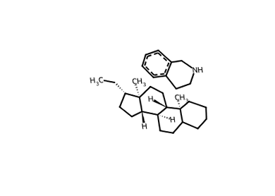 CC[C@H]1CC[C@H]2[C@@H]3CCC4CCCC[C@]4(C)[C@H]3CC[C@]12C.c1ccc2c(c1)CCNC2